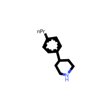 CCCc1ccc(C2CCNCC2)cc1